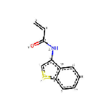 C=CC(=O)Nc1csc2ccccc12